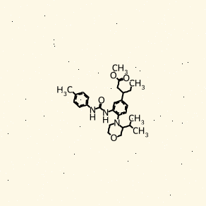 CCC(CC(=O)OC)c1ccc(N2CCOCC2C(C)C)c(NC(=O)Nc2ccc(C)cc2)c1